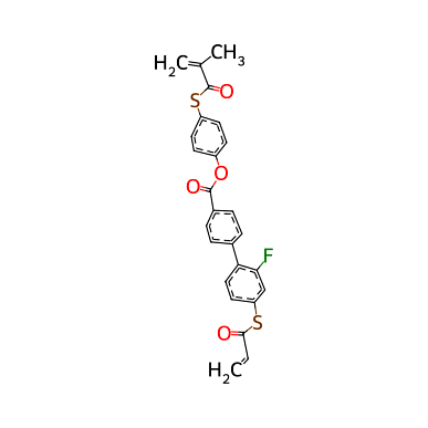 C=CC(=O)Sc1ccc(-c2ccc(C(=O)Oc3ccc(SC(=O)C(=C)C)cc3)cc2)c(F)c1